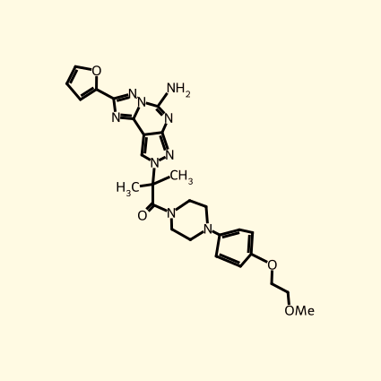 COCCOc1ccc(N2CCN(C(=O)C(C)(C)n3cc4c(nc(N)n5nc(-c6ccco6)nc45)n3)CC2)cc1